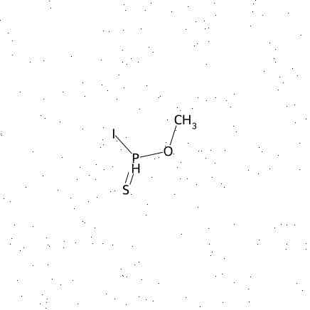 CO[PH](=S)I